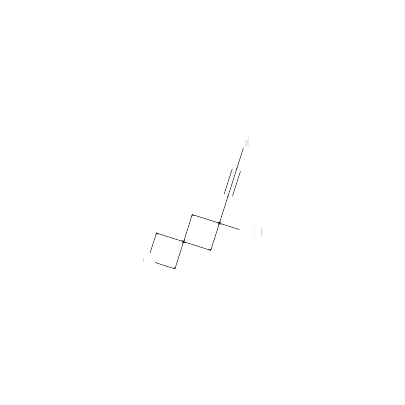 CC(C)C#CC1(O)CC2(COC2)C1